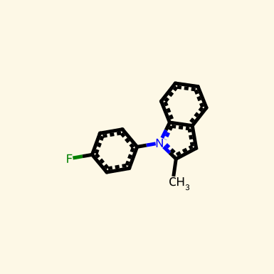 Cc1cc2ccccc2n1-c1ccc(F)cc1